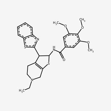 CCN1CCC2=C(C1)SC(NC(=O)c1cc(OC)c(OC)c(OC)c1)C2c1nc2ccccc2s1